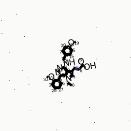 CCn1cc(/C=C/C(=O)O)c2c(NCc3ccc(OC)cc3)nnc(-c3ccccc3OC)c21